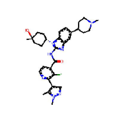 Cc1c(-c2nccc(C(=O)Nc3nc4cc(C5CCN(C)CC5)ccc4n3[C@H]3CC[C@@](C)(O)CC3)c2F)cnn1C